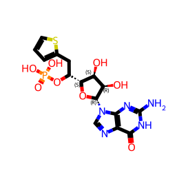 Nc1nc2c(ncn2[C@@H]2O[C@H](C(Cc3cccs3)OP(=O)(O)O)[C@@H](O)[C@H]2O)c(=O)[nH]1